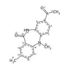 CC(=O)c1ccc2c(c1)NC(=O)c1cc(C)ccc1N2C